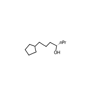 CCC[C@H](O)CCCC1CCCC1